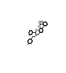 Cc1ccc(CCN(Cc2ccc(-c3ccccc3C(=O)O)cc2)C(=O)c2ccccc2)cc1